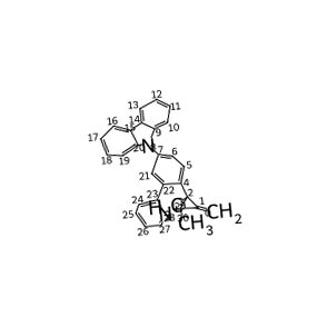 C=C1C2(C)c3ccc(-n4c5ccccc5c5ccccc54)cc3-c3cccc[n+]3C12C